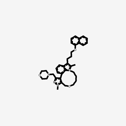 Cc1c(CCCOc2cccc3ccccc23)c2cccc3c2n1CCCCOCc1c-3c(CN2CCOCC2)nn1C